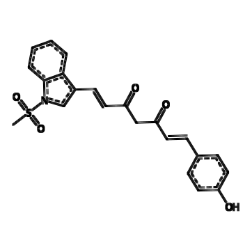 CS(=O)(=O)n1cc(/C=C/C(=O)CC(=O)/C=C/c2ccc(O)cc2)c2ccccc21